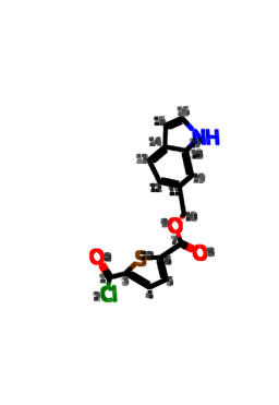 O=C(Cl)c1ccc(C(=O)OCc2ccc3cc[nH]c3c2)s1